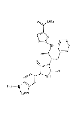 COC(=O)c1csc(NC(=O)[C@H](Cc2ccccc2)N2C(=O)NC(c3ccc4c(c3)ncn4C)C2=O)n1